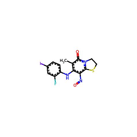 Cc1c(Nc2ccc(I)cc2F)c(N=O)c2n(c1=O)CCS2